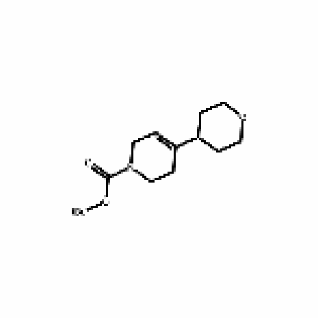 CC(C)(C)OC(=O)N1CC=C(C2CCOCC2)CC1